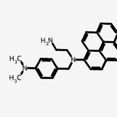 CN(C)c1ccc(CN(CCN)c2ccc3ccc4cccc5ccc2c3c45)cc1